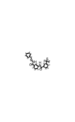 O=C(NOCc1ccccc1)c1cccc(NC(=O)c2cccc(C(F)(F)F)c2)c1